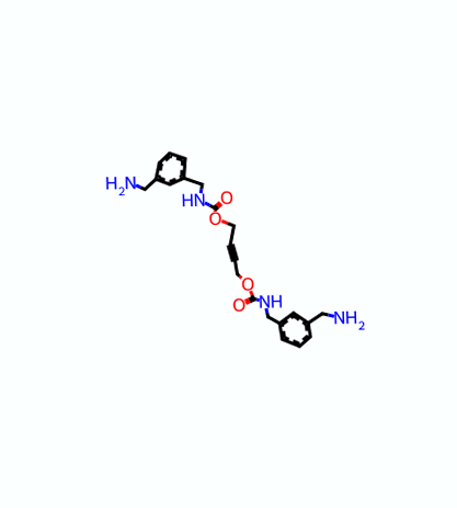 NCc1cccc(CNC(=O)OCC#CCOC(=O)NCc2cccc(CN)c2)c1